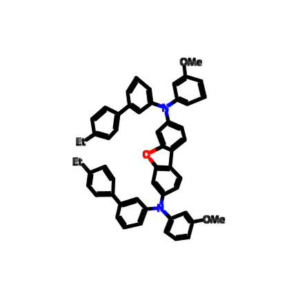 CCc1ccc(-c2cccc(N(c3cccc(OC)c3)c3ccc4c(c3)oc3cc(N(c5cccc(OC)c5)c5cccc(-c6ccc(CC)cc6)c5)ccc34)c2)cc1